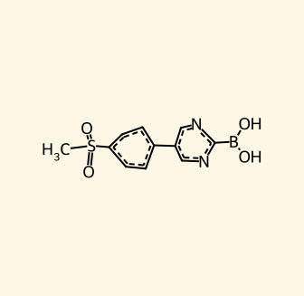 CS(=O)(=O)c1ccc(-c2cnc(B(O)O)nc2)cc1